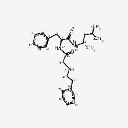 CC(C)C[C@H](C)NC(=O)C(Cc1ccccc1)NC(=O)CNCCc1ccccc1